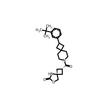 CC(C)(C)c1cccc(C2CC3(CCN(C(=O)[C@H]4C[C@]5(COC(=O)N5)C4)CC3)C2)c1